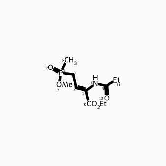 CCOC(=O)/C(=C/CP(C)(=O)OC)NC(=O)CC